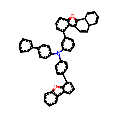 C1=CC2C=Cc3c(oc4cccc(-c5cccc(N(c6ccc(-c7ccccc7)cc6)c6ccc(-c7cccc8c7oc7ccccc78)cc6)c5)c34)C2C=C1